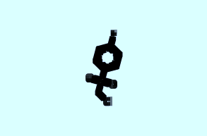 O=S(=O)(CCl)c1ccc(F)cc1